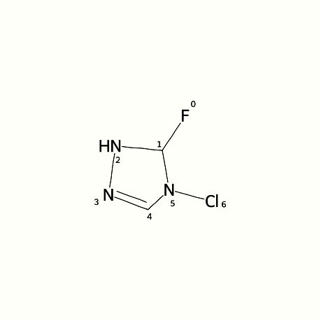 FC1NN=CN1Cl